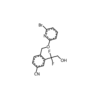 N#Cc1ccc(COc2cccc(Br)n2)c(C(F)(F)CO)c1